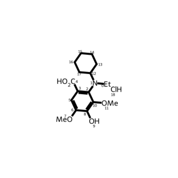 CCN(c1c(C(=O)O)cc(OC)c(O)c1OC)C1CCCCC1.Cl